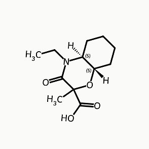 CCN1C(=O)C(C)(C(=O)O)O[C@H]2CCCC[C@@H]21